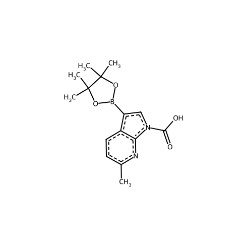 Cc1ccc2c(B3OC(C)(C)C(C)(C)O3)cn(C(=O)O)c2n1